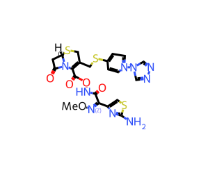 CO/N=C(\C(=O)NOC(=O)C1=C(CSc2cc[n+](-n3cnnc3)cc2)CS[C@H]2CC(=O)N12)c1csc(N)n1